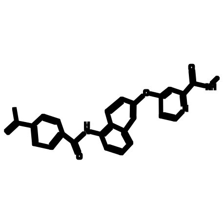 C=C(C)c1ccc(C(=O)Nc2cccc3cc(Oc4ccnc(C(=O)NC)c4)ccc23)cc1